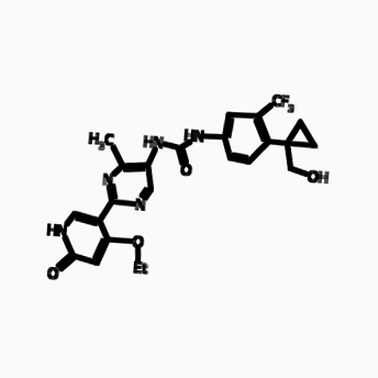 CCOc1cc(=O)[nH]cc1-c1ncc(NC(=O)Nc2ccc(C3(CO)CC3)c(C(F)(F)F)c2)c(C)n1